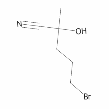 CC(O)(C#N)CCCBr